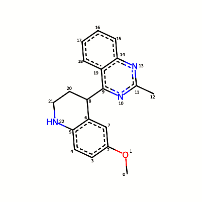 COc1ccc2c(c1)C(c1nc(C)nc3ccccc13)CCN2